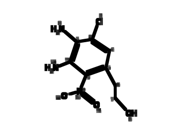 Nc1c(Cl)cc(CCO)c([N+](=O)[O-])c1N